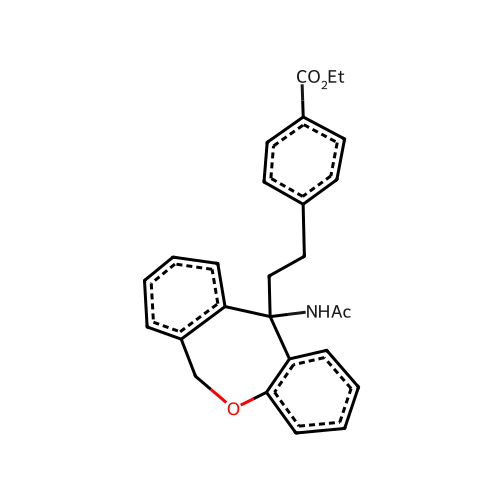 CCOC(=O)c1ccc(CCC2(NC(C)=O)c3ccccc3COc3ccccc32)cc1